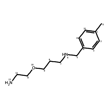 Cc1ccc(CNCCCOCCN)cc1